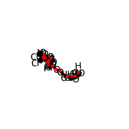 COc1ncc(-c2nc3c(n2CCCn2cc(C(=O)NCCOCCOCCNC(=O)COc4ccc5c(c4)C(=O)N(C4CCC(=O)NC4=O)C5=O)nn2)[C@@H](c2ccc(Cl)cc2)N(c2cc(Cl)cn(C)c2=O)C3=O)c(OC)n1